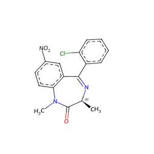 C[C@@H]1N=C(c2ccccc2Cl)c2cc([N+](=O)[O-])ccc2N(C)C1=O